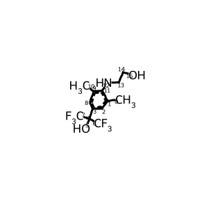 Cc1cc(C(O)(C(F)(F)F)C(F)(F)F)cc(C)c1NCCO